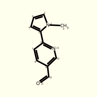 Cn1cccc1-c1ccc(C=O)cn1